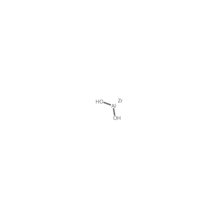 [OH][Al][OH].[Zr]